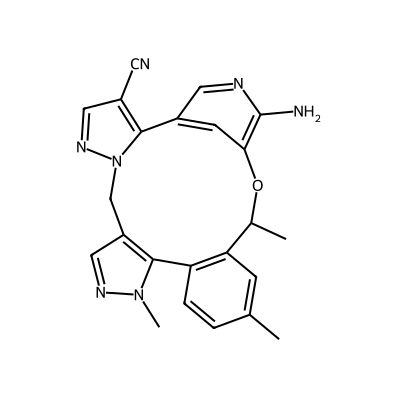 Cc1ccc2c(c1)C(C)Oc1cc(cnc1N)-c1c(C#N)cnn1Cc1cnn(C)c1-2